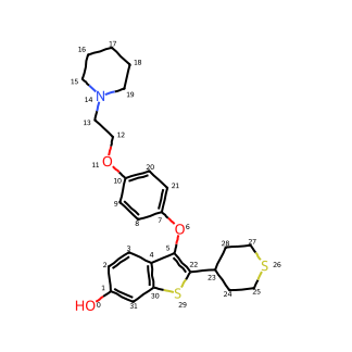 Oc1ccc2c(Oc3ccc(OCCN4CCCCC4)cc3)c(C3CCSCC3)sc2c1